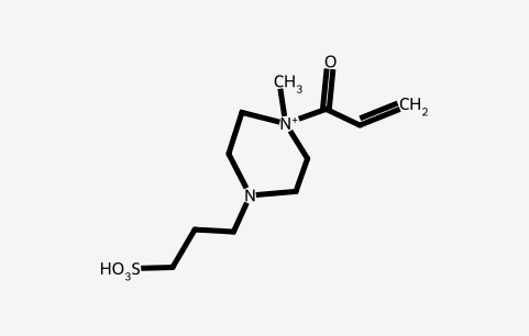 C=CC(=O)[N+]1(C)CCN(CCCS(=O)(=O)O)CC1